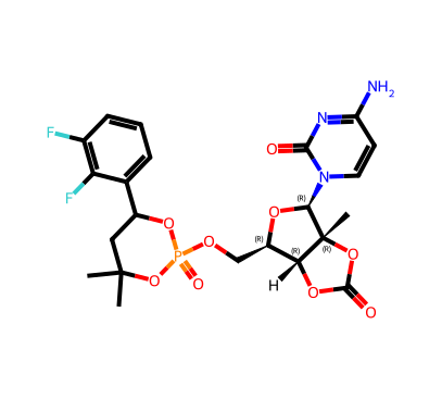 CC1(C)CC(c2cccc(F)c2F)OP(=O)(OC[C@H]2O[C@@H](n3ccc(N)nc3=O)[C@]3(C)OC(=O)O[C@H]23)O1